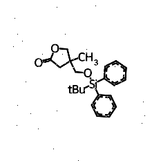 CC1(CO[Si](c2ccccc2)(c2ccccc2)C(C)(C)C)COC(=O)C1